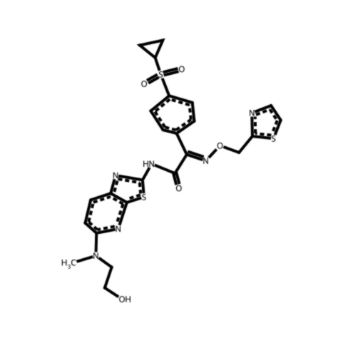 CN(CCO)c1ccc2nc(NC(=O)/C(=N/OCc3nccs3)c3ccc(S(=O)(=O)C4CC4)cc3)sc2n1